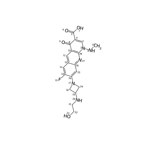 CNn1cc(C(=O)O)c(=O)c2cc3cc(F)c(N4CC(NCCO)C4)cc3nc21